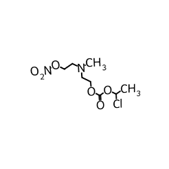 CC(Cl)OC(=O)OCCN(C)CCO[N+](=O)[O-]